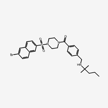 CCCC(C)(C)NCc1ccc(C(=O)N2CCN(S(=O)(=O)c3ccc4cc(Br)ccc4c3)CC2)cc1